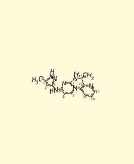 Cc1cc(Nc2ccnc(NC(C)c3ccccn3)n2)n[nH]1